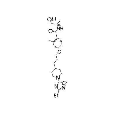 CCc1noc(N2CCC(CCCOc3ccc(C(=O)N[C@H](C)CO)c(C)c3)CC2)n1